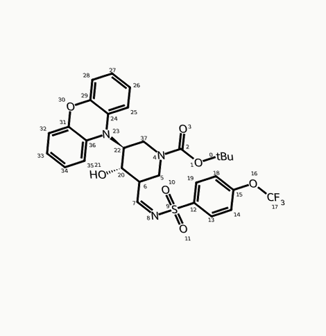 CC(C)(C)OC(=O)N1CC(/C=N\S(=O)(=O)c2ccc(OC(F)(F)F)cc2)[C@H](O)[C@@H](N2c3ccccc3Oc3ccccc32)C1